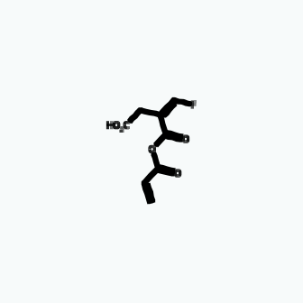 C=CC(=O)OC(=O)C(=CF)CC(=O)O